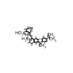 CN(C)c1ccc(N(C)c2ccc3c(c2)CCN(C)[C@H]3CNc2cnccc2C(=O)O)cc1